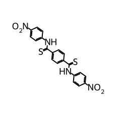 O=[N+]([O-])c1ccc(NC(=S)c2ccc(C(=S)Nc3ccc([N+](=O)[O-])cc3)cc2)cc1